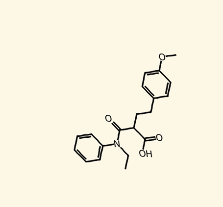 CCN(C(=O)C(CCc1ccc(OC)cc1)C(=O)O)c1ccccc1